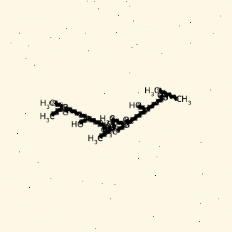 CCCCCC(CCCC)OC(=O)CCCCCCCN(CCO)CCCCCCCC(=O)OC(CCCC)CCCC(C)C(C)CCC(CCCCC)OC(=O)CCCCCCCN(CCO)CCCCCCCC(=O)OC(CCCC)CCCCC